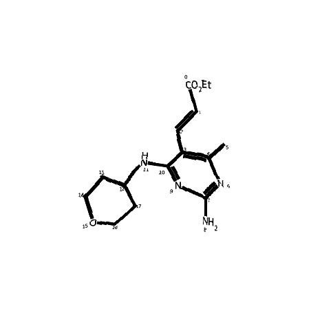 CCOC(=O)/C=C/c1c(C)nc(N)nc1NC1CCOCC1